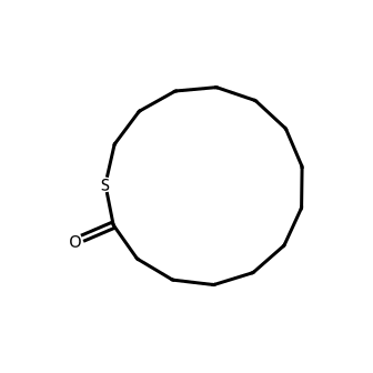 O=C1CCCCCCCCCCCCCS1